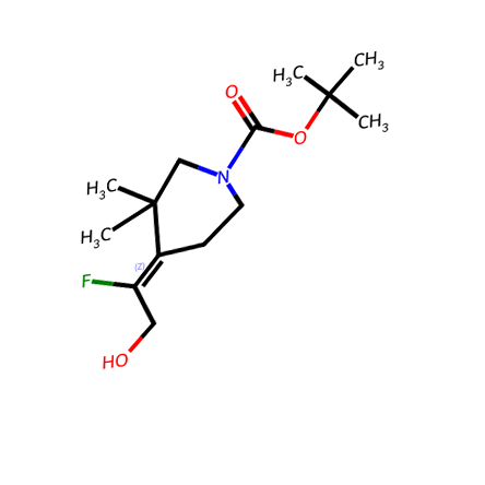 CC(C)(C)OC(=O)N1CC/C(=C(/F)CO)C(C)(C)C1